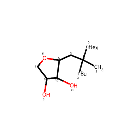 CCCCCCC(C)(CCCC)CC1OCC(O)C1O